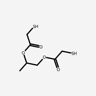 CC(COC(=O)CS)OC(=O)CS